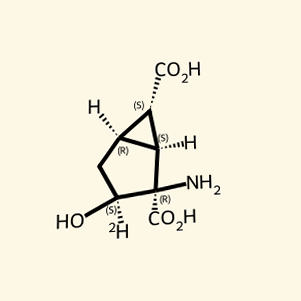 [2H][C@]1(O)C[C@H]2[C@H](C(=O)O)[C@H]2[C@]1(N)C(=O)O